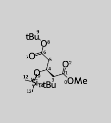 COC(=O)C[C@H](CC(=O)OC(C)(C)C)O[Si](C)(C)C(C)(C)C